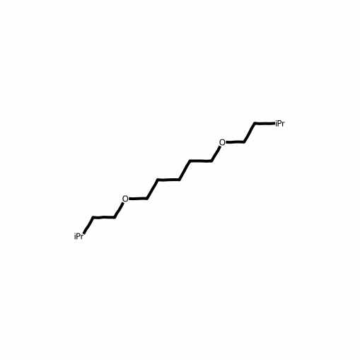 CC(C)CCOCCCCCOCCC(C)C